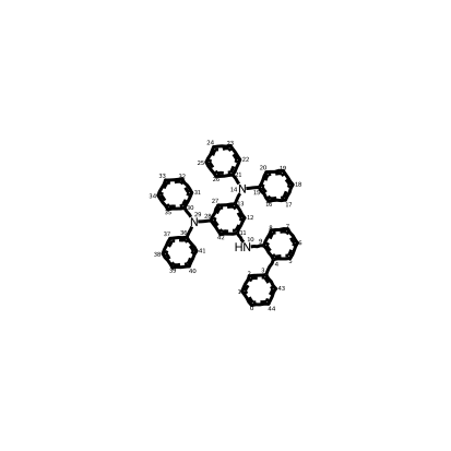 c1ccc(-c2ccccc2Nc2cc(N(c3ccccc3)c3ccccc3)cc(N(c3ccccc3)c3ccccc3)c2)cc1